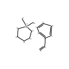 C=Cc1ccccc1.C[Si]1(C)CCCCC1